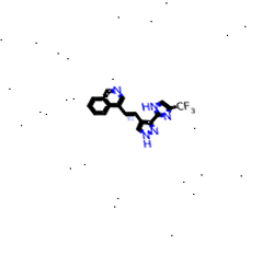 FC(F)(F)c1c[nH]c(-c2n[nH]cc2/C=C/c2cncc3ccccc23)n1